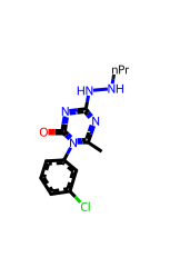 CCCNNc1nc(C)n(-c2cccc(Cl)c2)c(=O)n1